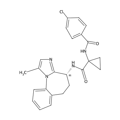 Cc1cnc2n1-c1ccccc1CC[C@H]2NC(=O)C1(NC(=O)c2ccc(Cl)cc2)CC1